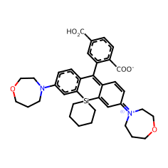 O=C(O)c1ccc(C(=O)[O-])c(C2=C3C=C/C(=[N+]4/CCCOCC4)C=C3[Si]3(CCCCC3)c3cc(N4CCCOCC4)ccc32)c1